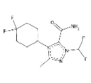 Cc1nn(C(F)F)c(C(N)=O)c1C1CCC(F)(F)CC1